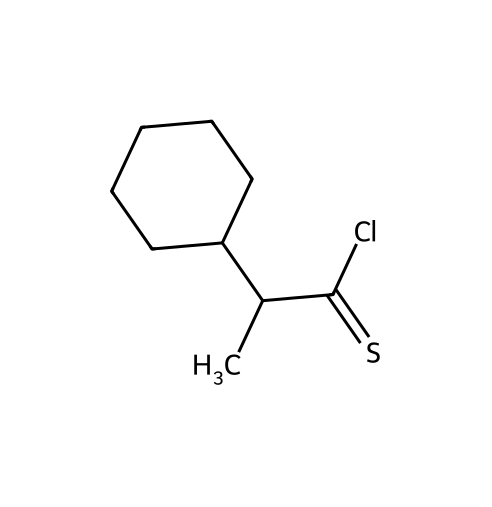 CC(C(=S)Cl)C1CCCCC1